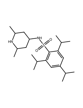 CC1CC(NS(=O)(=O)c2c(C(C)C)cc(C(C)C)cc2C(C)C)CC(C)N1